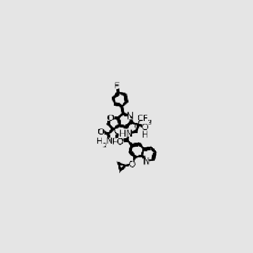 NC(=O)[C@]1(CF)COc2c1cc([C@@](O)(CNC(=O)c1cc(OC3CC3)c3ncccc3c1)C(F)(F)F)nc2-c1ccc(F)cc1